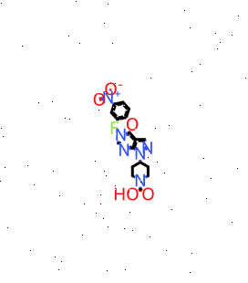 O=C(O)N1CCC(n2ncc3c(Oc4ccc([N+](=O)[O-])cc4F)ncnc32)CC1